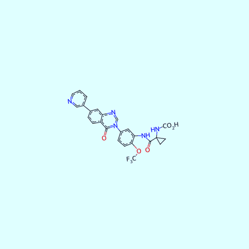 O=C(O)NC1(C(=O)Nc2cc(-n3cnc4cc(-c5cccnc5)ccc4c3=O)ccc2OC(F)(F)F)CC1